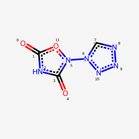 O=c1[nH]c(=O)n(-n2[c]nnn2)o1